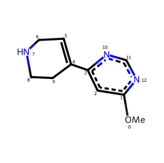 COc1cc(C2=CCNCC2)ncn1